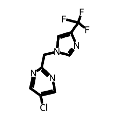 FC(F)(F)c1cn(Cc2ncc(Cl)cn2)cn1